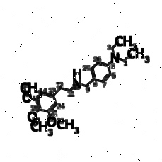 CCN(CC)c1ccc(CNCCc2cc(OC)c(OC)c(OC)c2)cc1